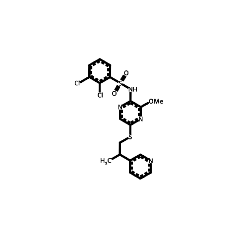 COc1nc(SCC(C)c2cccnc2)cnc1NS(=O)(=O)c1cccc(Cl)c1Cl